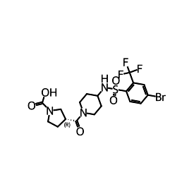 O=C(O)N1CC[C@@H](C(=O)N2CCC(NS(=O)(=O)c3ccc(Br)cc3C(F)(F)F)CC2)C1